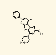 CCOc1nc(N2CCNCC2)c2sc3nc(-c4ccccc4)cc(C)c3c2n1